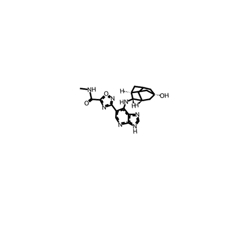 CNC(=O)c1nc(-c2cnc3[nH]cnc3c2N[C@H]2[C@@H]3CC4C[C@H]2C[C@@](O)(C4)C3)no1